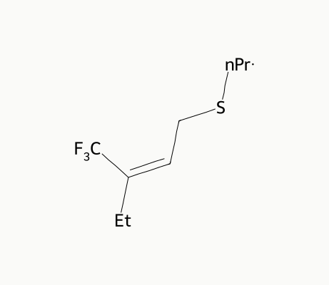 CC[CH]SC/C=C(/CC)C(F)(F)F